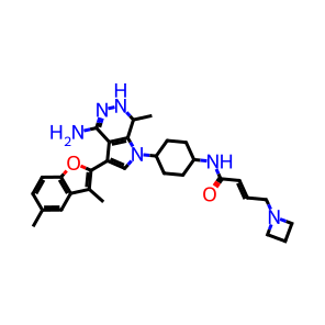 Cc1ccc2oc(-c3cn(C4CCC(NC(=O)/C=C/CN5CCC5)CC4)c4c3C(N)=NNC4C)c(C)c2c1